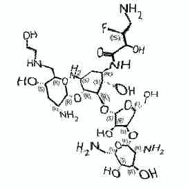 NC[C@@H]1O[C@H](O[C@H]2[C@@H](O)[C@H](O[C@@H]3[C@@H](O)[C@H](NC(=O)C(O)[C@@H](F)CN)C[C@H](N)[C@H]3O[C@H]3O[C@H](CNCCO)[C@@H](O)C[C@H]3N)O[C@@H]2CO)[C@H](N)[C@@H](O)[C@@H]1O